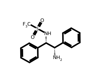 N[C@@H](c1ccccc1)[C@@H](NS(=O)(=O)C(F)(F)F)c1ccccc1